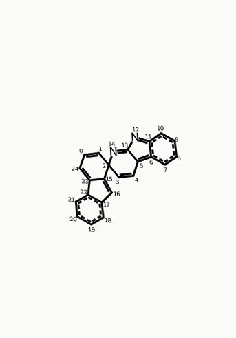 C1=CC2(C=CC3=c4ccccc4=NC3=N2)C2=Cc3ccccc3C2=C1